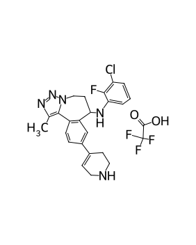 Cc1nnn2c1-c1ccc(C3=CCNCC3)cc1C(Nc1cccc(Cl)c1F)CC2.O=C(O)C(F)(F)F